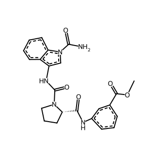 COC(=O)c1cccc(NC(=O)[C@@H]2CCCN2C(=O)Nc2cn(C(N)=O)c3ccccc23)c1